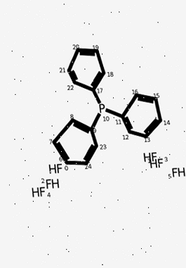 F.F.F.F.F.F.c1ccc(P(c2ccccc2)c2ccccc2)cc1